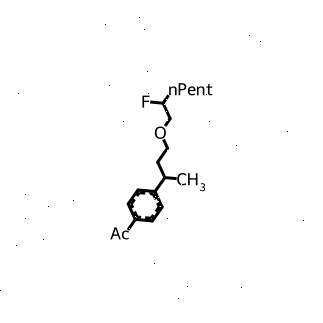 CCCCCC(F)COCCC(C)c1ccc(C(C)=O)cc1